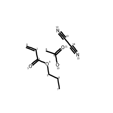 C=CC(=O)OCCC.CC([O])=O.N#CC#N